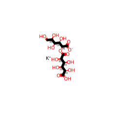 O=C(O)[C@@H](O)[C@@H](O)[C@H](O)[C@@H](O)C(=O)O[C@@H](C(=O)[O-])[C@@H](O)[C@H](O)[C@H](O)CO.[K+]